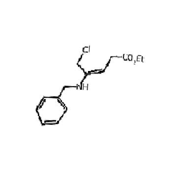 CCOC(=O)CC=C(CCl)NCc1ccccc1